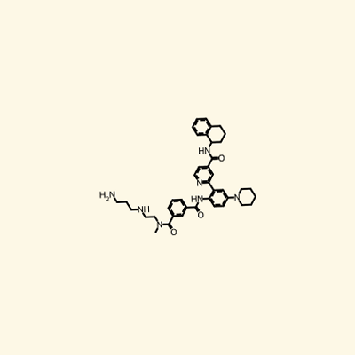 CN(CCNCCCN)C(=O)c1cccc(C(=O)Nc2ccc(N3CCCCC3)cc2-c2cc(C(=O)NC3CCCc4ccccc43)ccn2)c1